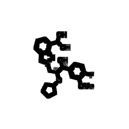 COc1cc([C@H](O)[C@H](Cn2cc3cccc(C(O)O)c3n2)OC2CCCC2)ccc1F